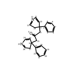 O=C(CC1(c2ccccc2)C=CN=CC1)CC1(c2ccccc2)C=CN=CC1